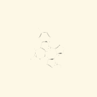 Cc1ccc2c(c1)c1c(n2-c2cscc2-c2cccn2C)CCN(C)C1